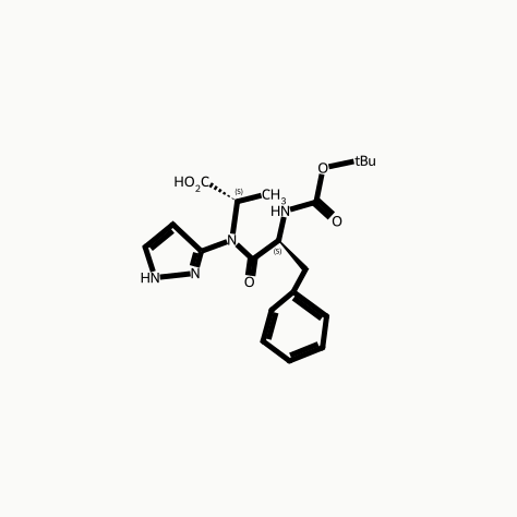 C[C@@H](C(=O)O)N(C(=O)[C@H](Cc1ccccc1)NC(=O)OC(C)(C)C)c1cc[nH]n1